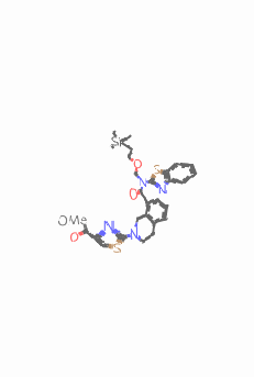 COC(=O)c1csc(N2CCc3cccc(C(=O)N(COCC[Si](C)(C)C)c4nc5ccccc5s4)c3C2)n1